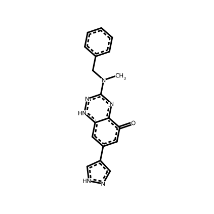 CN(Cc1ccccc1)c1n[nH]c2cc(-c3cn[nH]c3)cc(=O)c-2n1